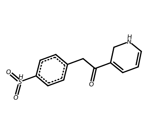 O=C(Cc1ccc([SH](=O)=O)cc1)C1=CC=CNC1